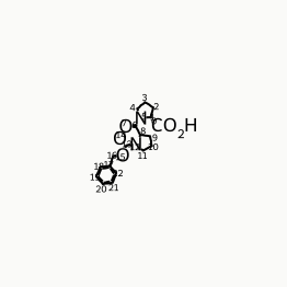 O=C(O)C1CCCN1C(=O)C1CCCN1C(=O)OCc1ccccc1